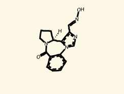 O=C1c2ccccc2-n2cnc(/C=N/O)c2[C@@H]2CCCN12